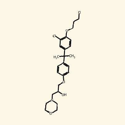 CC(C)(c1ccc(OCC(O)CN2CCOCC2)cc1)c1ccc(OCCCCl)c(Cl)c1